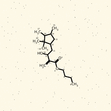 C=C(C(=O)OCCCC)C(O)CC1CC(C)C(C)C1(C)C